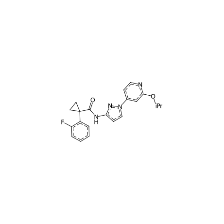 CC(C)Oc1cc(-n2ccc(NC(=O)C3(c4ccccc4F)CC3)n2)ccn1